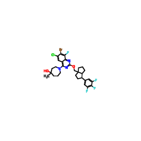 CC1(O)CCCN(c2nc(OCC34CCCC3C(c3cc(F)c(F)c(F)c3)CC4)nc3c(F)c(Br)c(Cl)cc23)CC1